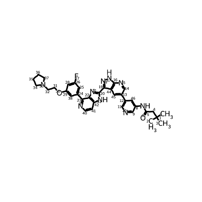 CC(C)(C)CC(=O)Nc1cncc(-c2cnc3[nH]nc(-c4nc5c(-c6cc(F)cc(OCCN7CCCC7)c6)nccc5[nH]4)c3c2)c1